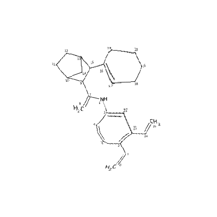 C=Cc1ccc(NC(=C)C2C3CCC(C3)C2C2=CCCCC2)cc1C=C